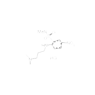 CNS(=O)(=O)c1cc([N+](=O)[O-])ccc1NCCCN(C)C.Cl